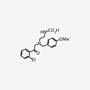 CCc1ccccc1C(=O)CN(CCNC(=O)O)Cc1ccc(OC)cc1